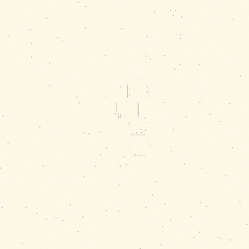 C=CCC(N)c1ccccc1-c1cc2cc(Cl)ccc2o1.Cl